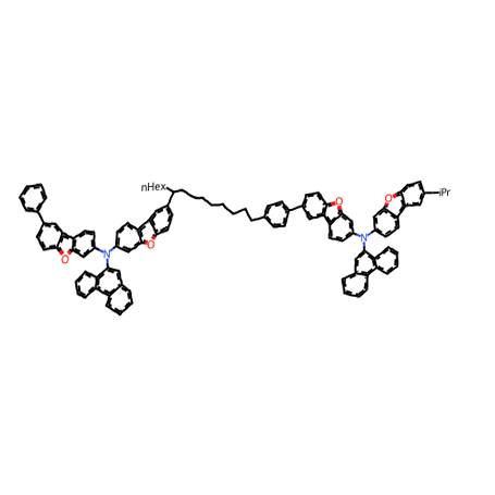 CCCCCCC(CCCCCCCCc1ccc(-c2ccc3oc4cc(N(c5ccc6c(c5)oc5ccc(C(C)C)cc56)c5cc6ccccc6c6ccccc56)ccc4c3c2)cc1)c1ccc2oc3cc(N(c4ccc5c(c4)oc4ccc(-c6ccccc6)cc45)c4cc5ccccc5c5ccccc45)ccc3c2c1